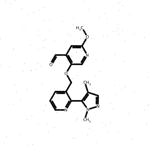 COc1cc(C=O)c(OCc2cccnc2-c2c(C)cnn2C)cn1